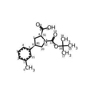 Cc1cccc([C@H]2C[C@@H](C(=O)O)N(C(=O)OC(C)(C)C)C2)c1